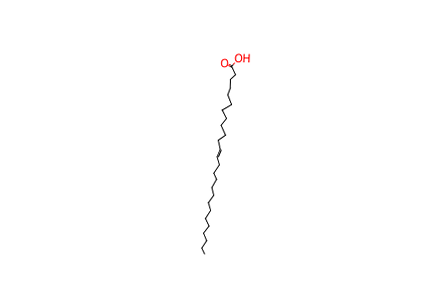 CCCCCCCCCCCCCC=CCCCCCCCCCCC(=O)O